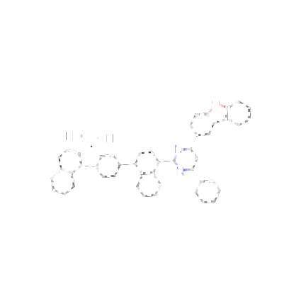 CC1(C)c2cc(-c3ccc(-c4nc(-c5ccccc5)cc(-c5ccc6oc7ccccc7c6c5)n4)c4ccccc34)ccc2-c2c1ccc1ccccc21